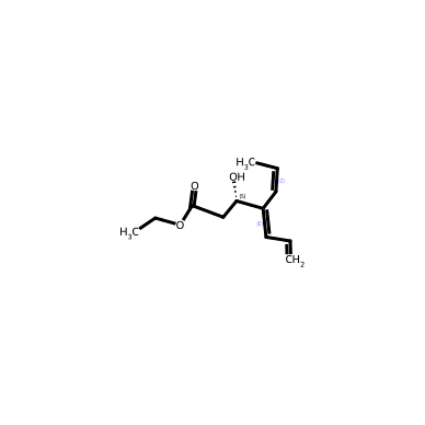 C=C/C=C(\C=C/C)[C@@H](O)CC(=O)OCC